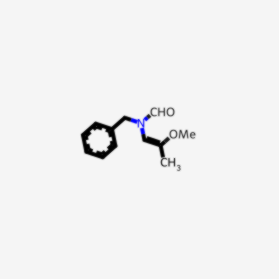 CO/C(C)=C\N(C=O)Cc1ccccc1